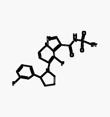 CC(C)S(=O)(=O)NC(=O)c1cnn2ccc(N3CCCC3c3cccc(F)c3)c(F)c12